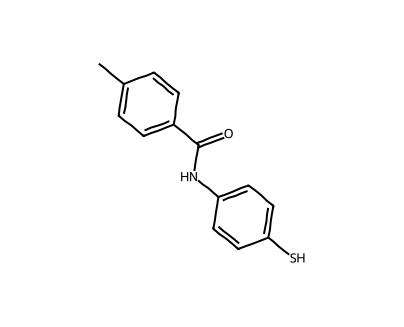 Cc1ccc(C(=O)Nc2ccc(S)cc2)cc1